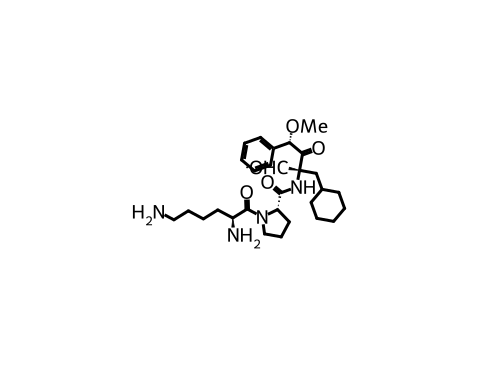 CO[C@H](C(=O)[C@]([C]=O)(CC1CCCCC1)NC(=O)[C@@H]1CCCN1C(=O)[C@@H](N)CCCCN)c1ccccc1